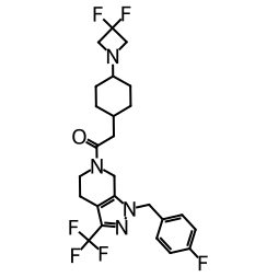 O=C(CC1CCC(N2CC(F)(F)C2)CC1)N1CCc2c(C(F)(F)F)nn(Cc3ccc(F)cc3)c2C1